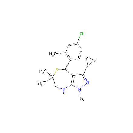 CCn1nc(C2CC2)c2c1NCC(C)(C)SC2c1ccc(Cl)cc1C